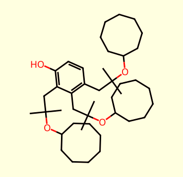 CC(C)(Cc1ccc(O)c(CC(C)(C)OC2CCCCCCC2)c1CC(C)(C)OC1CCCCCCC1)OC1CCCCCCC1